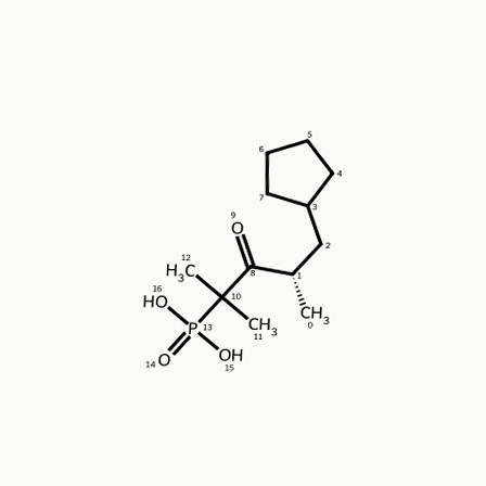 C[C@@H](CC1CCCC1)C(=O)C(C)(C)P(=O)(O)O